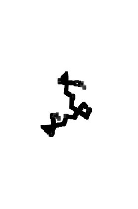 CC1(COCC2(COCC3(C)CO3)COC2)CO1